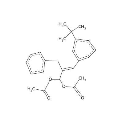 CC(=O)OC(OC(C)=O)/C(=C/c1cccc(C(C)(C)C)c1)Cc1ccccc1